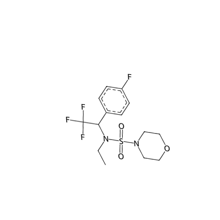 CCN(C(c1ccc(F)cc1)C(F)(F)F)S(=O)(=O)N1CCOCC1